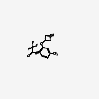 FC(F)(F)c1cccc(OC2CNC2)c1.O=C(O)C(F)(F)F